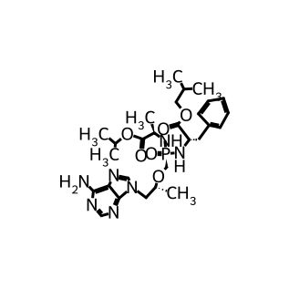 CC(C)COC(=O)[C@H](Cc1ccccc1)N[P@@](=O)(CO[C@H](C)Cn1cnc2c(N)ncnc21)N[C@H](C)C(=O)OC(C)C